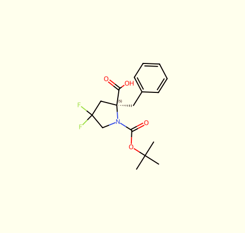 CC(C)(C)OC(=O)N1CC(F)(F)C[C@@]1(Cc1ccccc1)C(=O)O